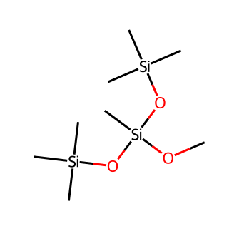 CO[Si](C)(O[Si](C)(C)C)O[Si](C)(C)C